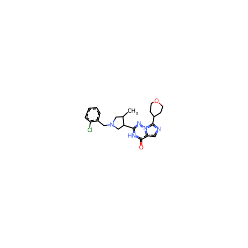 CC1CN(Cc2ccccc2Cl)CC1c1nn2c(C3CCOCC3)ncc2c(=O)[nH]1